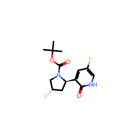 CC(C)(C)OC(=O)N1C[C@@H](F)C[C@@H]1c1cc(F)c[nH]c1=O